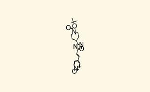 CC(C)(C)OC(=O)N1CCC(c2noc(/C=C/c3cc[n+]([O-])cc3)n2)CC1